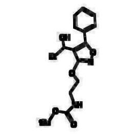 CCC(O)c1c(OCCNC(=O)OC(C)(C)C)noc1-c1ccccc1